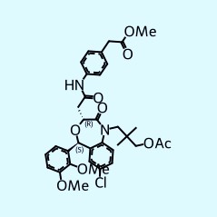 COC(=O)Cc1ccc(NC(=O)C[C@H]2O[C@H](c3cccc(OC)c3OC)c3cc(Cl)ccc3N(CC(C)(C)COC(C)=O)C2=O)cc1